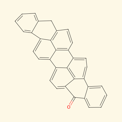 O=C1c2ccccc2-c2ccc3c4ccc5c6c(ccc(c7ccc1c2c73)c64)-c1ccccc1C5